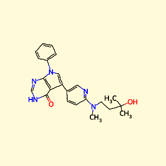 CN(CCC(C)(C)O)c1ccc(-c2cn(-c3ccccc3)c3nc[nH]c(=O)c23)cn1